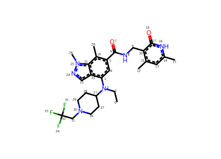 CCN(c1cc(C(=O)NCc2c(C)cc(C)[nH]c2=O)c(C)c2c1cnn2C)C1CCN(CC(F)(F)F)CC1